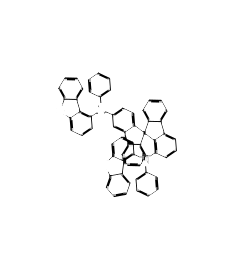 c1ccc(N(c2ccc3c(c2)-c2ccccc2C32c3ccccc3-c3cccc(N(c4ccccc4)c4cccc5sc6ccccc6c45)c32)c2cccc3oc4ccccc4c23)cc1